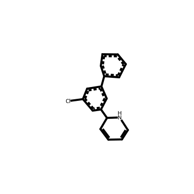 Clc1cc(-c2ccccc2)cc(C2C=CC=CN2)c1